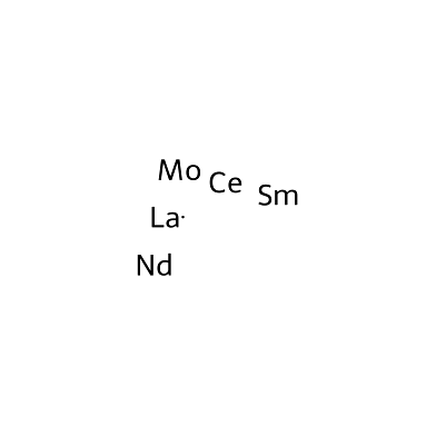 [Ce].[La].[Mo].[Nd].[Sm]